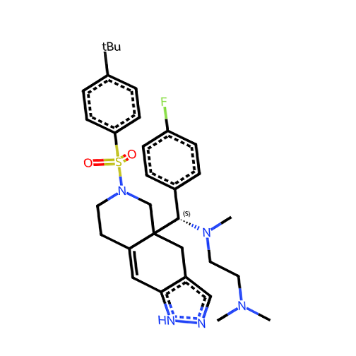 CN(C)CCN(C)[C@@H](c1ccc(F)cc1)C12Cc3cn[nH]c3C=C1CCN(S(=O)(=O)c1ccc(C(C)(C)C)cc1)C2